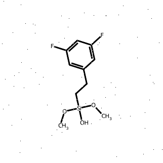 CO[Si](O)(CCc1cc(F)cc(F)c1)OC